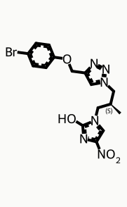 C[C@H](Cn1cc(COc2ccc(Br)cc2)nn1)Cn1cc([N+](=O)[O-])nc1O